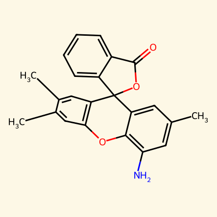 Cc1cc(N)c2c(c1)C1(OC(=O)c3ccccc31)c1cc(C)c(C)cc1O2